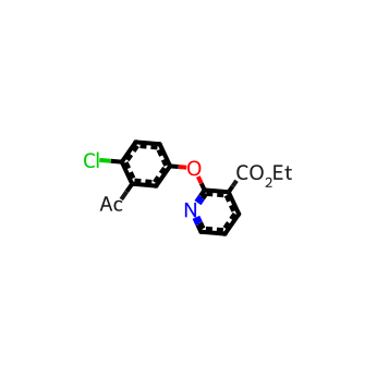 CCOC(=O)c1cccnc1Oc1ccc(Cl)c(C(C)=O)c1